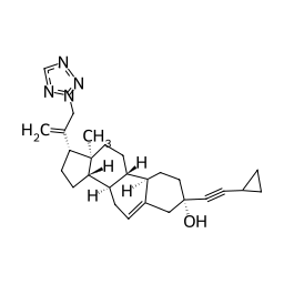 C=C(Cn1ncnn1)[C@H]1CC[C@H]2[C@@H]3CC=C4C[C@](O)(C#CC5CC5)CC[C@@H]4[C@H]3CC[C@]12C